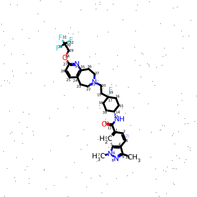 C=C(/C=C\c1cn(C)nc1C)C(=O)N[C@H]1CC[C@](F)(CCN2CCc3ccc(OCC(F)(F)F)nc3CC2)CC1